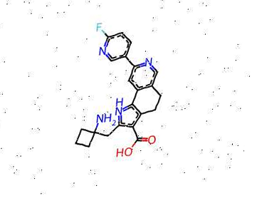 NC1(Cc2[nH]c3c(c2C(=O)O)CCc2cnc(-c4ccc(F)nc4)cc2-3)CCC1